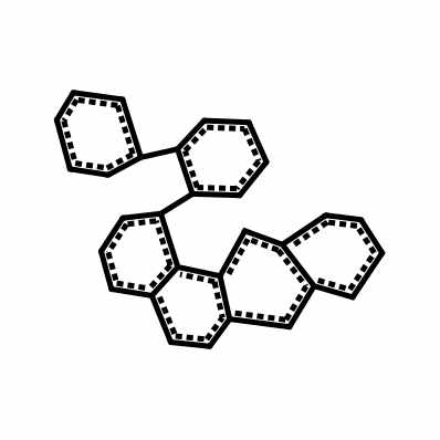 c1ccc(-c2ccccc2-c2cccc3ccc4cc5ccccc5cc4c23)cc1